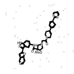 CO[C@@]1(C(=O)Nc2ccc3[nH]nc(-c4cc5cnccc5o4)c3c2)CCN(CC(=O)N2CC=C(c3ccc(-c4ncccn4)cc3)CC2)C1